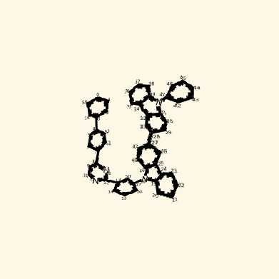 c1ccc(-c2ccc(-c3ccnc(-c4cccc(-n5c6ccccc6c6cc(-c7ccc8c(c7)c7ccccc7n8-c7ccccc7)ccc65)c4)n3)cc2)cc1